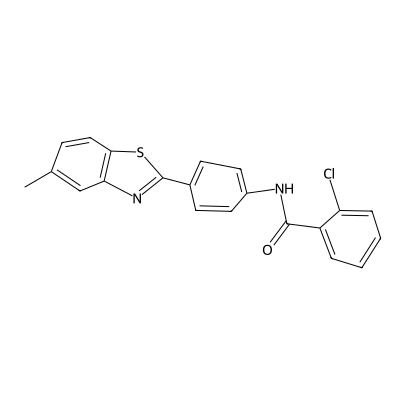 Cc1ccc2sc(-c3ccc(NC(=O)c4ccccc4Cl)cc3)nc2c1